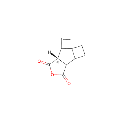 O=C1OC(=O)[C@H]2C1C1CCC13C=CC23